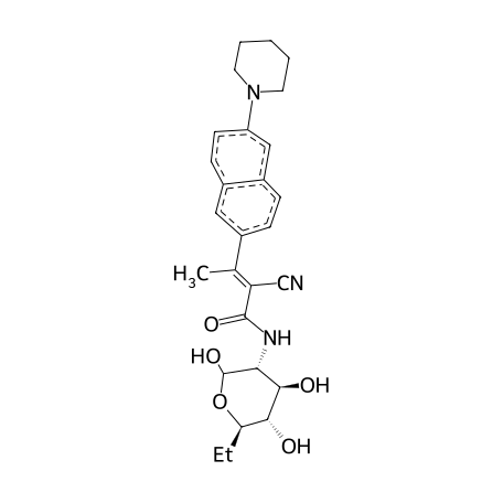 CC[C@H]1OC(O)[C@H](NC(=O)/C(C#N)=C(\C)c2ccc3cc(N4CCCCC4)ccc3c2)[C@@H](O)[C@@H]1O